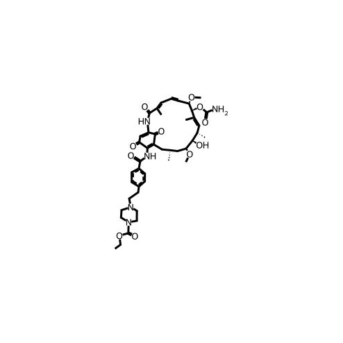 CCOC(=O)N1CCN(CCc2ccc(C(=O)NC3=C4C[C@@H](C)C[C@H](OC)[C@H](O)[C@@H](C)/C=C(\C)[C@H](OC(N)=O)[C@@H](OC)/C=C\C=C(/C)C(=O)NC(=CC3=O)C4=O)cc2)CC1